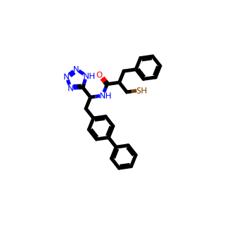 O=C(NC(Cc1ccc(-c2ccccc2)cc1)c1nnn[nH]1)C(CS)Cc1ccccc1